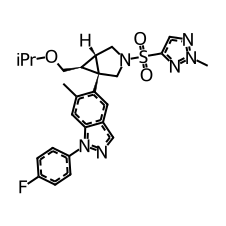 Cc1cc2c(cnn2-c2ccc(F)cc2)cc1[C@]12CN(S(=O)(=O)c3cnn(C)n3)C[C@H]1[C@@H]2COC(C)C